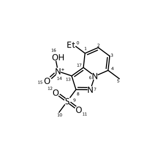 CCc1ccc(C)n2nc(S(C)(=O)=O)c([N+](=O)O)c12